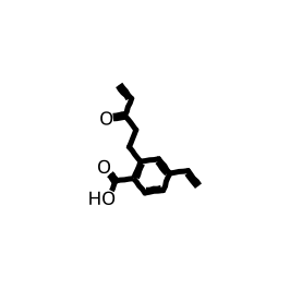 C=CC(=O)CCc1cc(C=C)ccc1C(=O)O